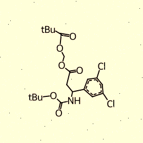 CC(C)(C)OC(=O)NC(CC(=O)OCOC(=O)C(C)(C)C)c1cc(Cl)cc(Cl)c1